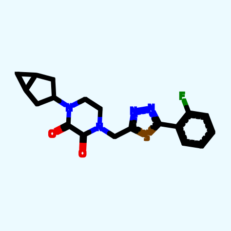 O=C1C(=O)N(C2CC3CC3C2)CCN1Cc1nnc(-c2ccccc2F)s1